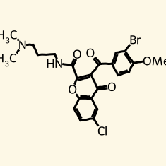 COc1ccc(C(=O)c2c(C(=O)NCCCN(C)C)oc3ccc(Cl)cc3c2=O)cc1Br